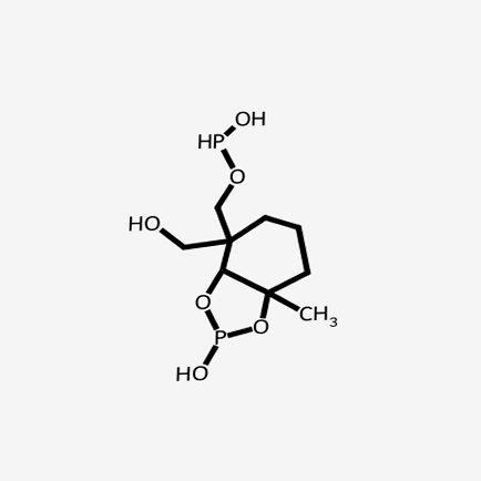 CC12CCCC(CO)(COPO)C1OP(O)O2